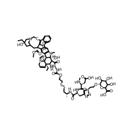 CC[C@]1(O)CC2CN(CCc3c([nH]c4ccccc34)[C@@](C(=O)OC)(c3cc4c(cc3OC)N(C)[C@H]3[C@@](O)(C(=O)NNC(=O)OCCSSC[C@@H](C)NC(=O)[C@H](Cc5cn(CCO[C@H]6OC(C(=O)O)C(O)[C@H](O)C6O)nn5)NC(=O)[C@H](CC(=O)O)NC)[C@H](O)[C@]5(CC)C=CCN6CC[C@]43[C@@H]65)C2)C1